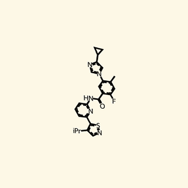 Cc1cc(F)c(C(=O)Nc2cccc(-c3sncc3C(C)C)n2)cc1-n1cnc(C2CC2)c1